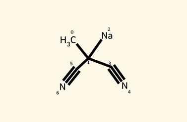 C[C]([Na])(C#N)C#N